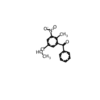 CO.Cc1c(C(=O)c2ccccc2)cc(Cl)cc1[N+](=O)[O-]